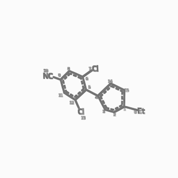 CCc1ccc(-c2c(Cl)cc(C#N)cc2Cl)cc1